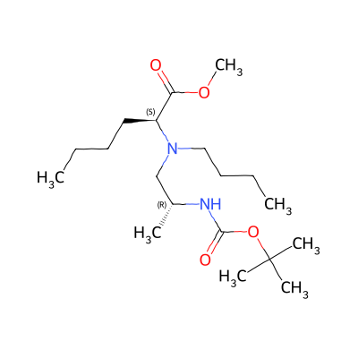 CCCC[C@@H](C(=O)OC)N(CCCC)C[C@@H](C)NC(=O)OC(C)(C)C